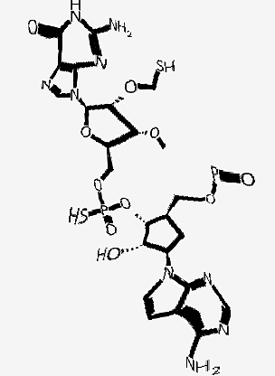 CO[C@H]1[C@@H](OCS)[C@H](n2cnc3c(=O)[nH]c(N)nc32)O[C@@H]1COP(=O)(S)O[C@@H]1[C@@H](COP=O)C[C@@H](n2ccc3c(N)ncnc32)[C@@H]1O